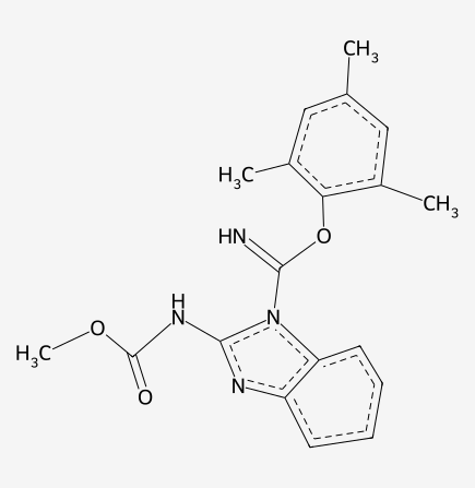 COC(=O)Nc1nc2ccccc2n1C(=N)Oc1c(C)cc(C)cc1C